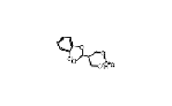 O=[PH]1OCC(C(Cl)Oc2ccccc2Cl)CO1